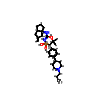 C=C1CC2CCCC2(NC2=NS(=O)(=O)[C@@H](c3ccc(C4CCN(CCC(F)(F)F)CC4)cc3)C(C)(C)O2)C1